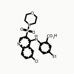 CCc1ccc(Nc2c(S(=O)(=O)N3CCOCC3)cnc3ccc(Cl)cc23)c(C(=O)O)c1